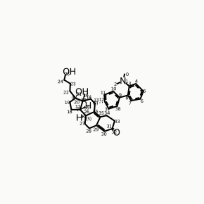 CN(C)c1ccccc1-c1ccc([C@H]2C[C@]3(C)[C@@H](CC[C@@]3(O)CCCO)[C@@H]3CCC4=CC(=O)CCC4=C32)cc1